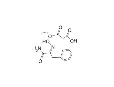 CCOC(=O)CC(=O)O.NC(=O)C(Cc1ccccc1)=NO